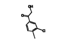 Cc1ccc(C(=O)CO)cc1Cl